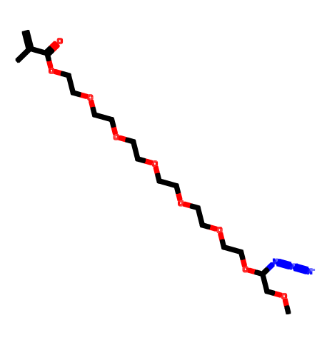 C=C(C)C(=O)OCCOCCOCCOCCOCCOCCOC(COC)N=[N+]=[N-]